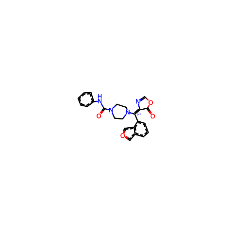 O=C1OC=N/C1=C(/c1cccc2cocc12)N1CCN(C(=O)Nc2ccccc2)CC1